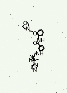 Cn1c(CNc2cccc(C(=O)NCc3ccccc3OCCN3CCOCC3)c2)nnc1-c1ccncn1